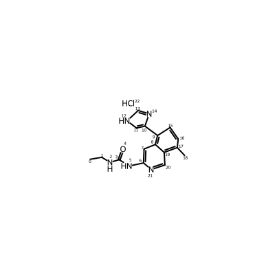 CCNC(=O)Nc1cc2c(-c3c[nH]cn3)ccc(C)c2cn1.Cl